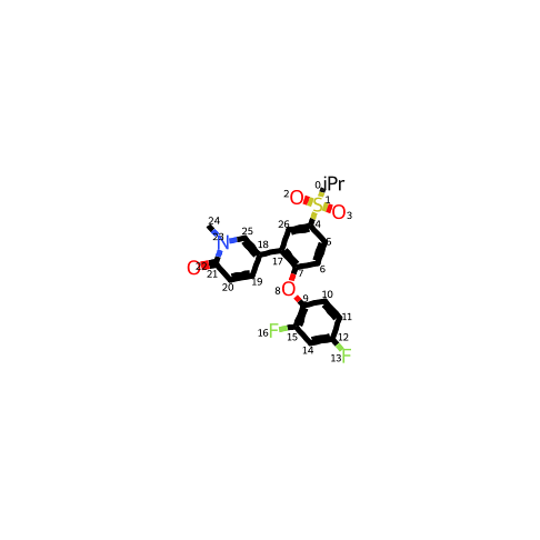 CC(C)S(=O)(=O)c1ccc(Oc2ccc(F)cc2F)c(-c2ccc(=O)n(C)c2)c1